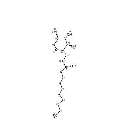 CCCCCCCCCC(=O)OC[C@@H]1OC[C@@H](O)[C@H](O)[C@H]1O